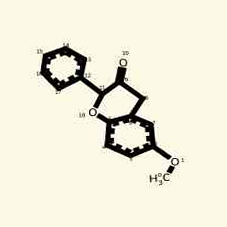 COc1ccc2c(c1)CC(=O)C(c1ccccc1)O2